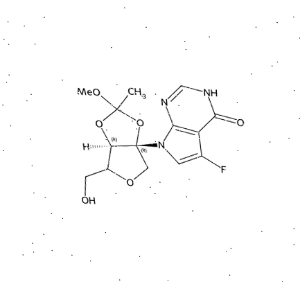 COC1(C)O[C@@H]2C(CO)OC[C@@]2(n2cc(F)c3c(=O)[nH]cnc32)O1